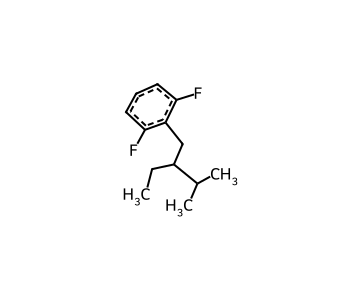 CCC(Cc1c(F)cccc1F)C(C)C